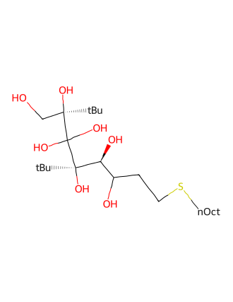 CCCCCCCCSCCC(O)[C@H](O)[C@](O)(C(C)(C)C)C(O)(O)[C@](O)(CO)C(C)(C)C